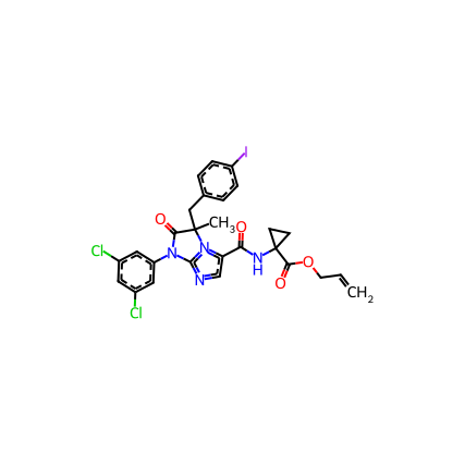 C=CCOC(=O)C1(NC(=O)c2cnc3n2C(C)(Cc2ccc(I)cc2)C(=O)N3c2cc(Cl)cc(Cl)c2)CC1